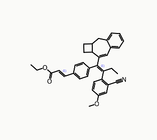 CCOC(=O)/C=C/c1ccc(/C(C2=Cc3ccccc3CC3CCC23)=C(/CC)c2ccc(OC)cc2C#N)cc1